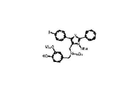 CCCCN(Cc1ccc(O)c(OC)c1)Cc1c(-c2ccc(F)cc2)nc(-c2ccccc2)n1CCCC